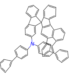 c1ccc(-c2ccc(N(c3ccc(-c4ccccc4)cc3)c3ccc4c(c3)C3(c5ccccc5-4)c4ccccc4-c4c3cc3c5c(cccc45)-c4ccccc4-3)cc2)cc1